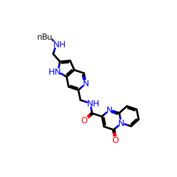 CCCCNCc1cc2cnc(CNC(=O)c3cc(=O)n4ccccc4n3)cc2[nH]1